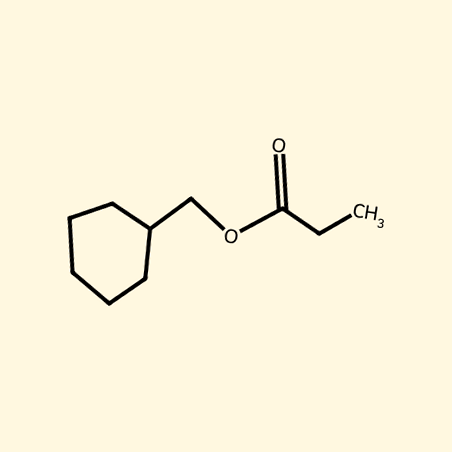 CCC(=O)OCC1CCCCC1